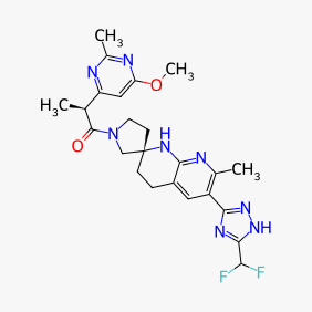 COc1cc([C@H](C)C(=O)N2CC[C@@]3(CCc4cc(-c5n[nH]c(C(F)F)n5)c(C)nc4N3)C2)nc(C)n1